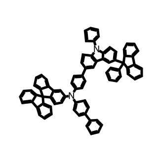 c1ccc(-c2ccc(N(c3ccc(-c4ccc5c(c4)c4cc(C6(c7ccccc7)c7ccccc7-c7ccccc76)ccc4n5-c4ccccc4)cc3)c3ccc4c(c3)-c3ccccc3C43c4ccccc4-c4ccccc43)cc2)cc1